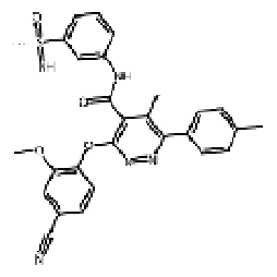 COc1cc(C#N)ccc1Oc1nnc(-c2ccc(C)cc2)c(C)c1C(=O)Nc1cccc([S@@](C)(=N)=O)c1